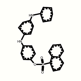 O=S(=O)(Oc1ccc(Nc2ccc(Nc3ccccc3)cc2)cc1)c1cccc2ccccc12